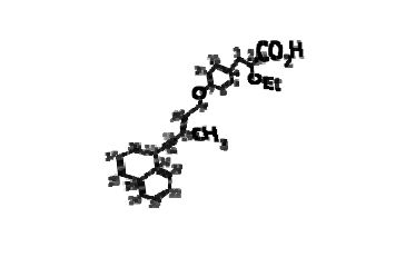 CCO[C@@H](Cc1ccc(OC/C=C(\C)C#Cc2cccc3ccccc23)cc1)C(=O)O